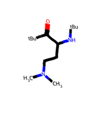 CN(C)CCC(NC(C)(C)C)C(=O)C(C)(C)C